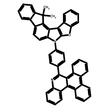 CC1(C)c2ccccc2-c2ccc3c(c21)c1c2ccccc2oc1n3-c1ccc(-c2nc3ccccc3c3c4ccccc4c4ccccc4c23)cc1